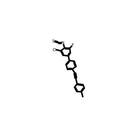 Cc1ccc(C#Cc2ccc(-c3cc(F)c(N=C=S)c(Cl)c3)cc2)cc1